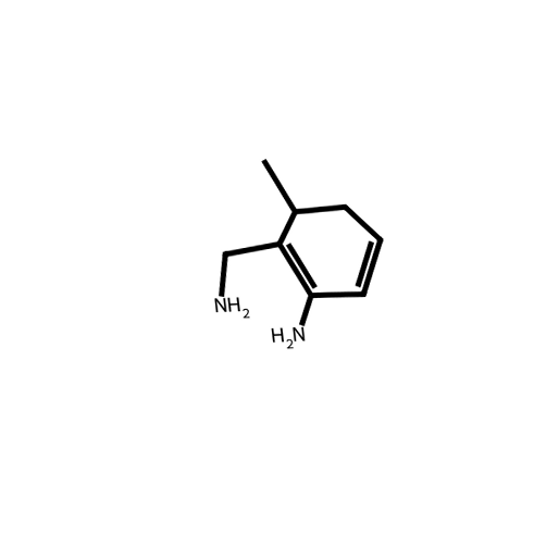 CC1CC=CC(N)=C1CN